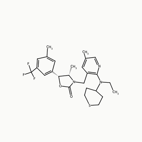 CCN(c1ncc(C)cc1CN1C(=O)O[C@H](c2cc(C)cc(C(F)(F)F)c2)[C@@H]1C)C1CCSCC1